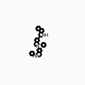 c1ccc([C@H]2NCCc3ccc(N4CCc5ccc(C6CNc7ccc8ccccc8c7C6)cc5[C@@H]4c4ccccc4)cc32)cc1